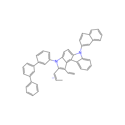 C=Cc1c(/C=C\C)n(-c2cccc(-c3cccc(-c4ccccc4)c3)c2)c2ccc3c(c4ccccc4n3-c3ccc4ccccc4c3)c12